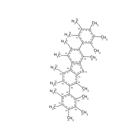 Cc1c(C)c(C)c(-c2c(C)c(C)c3c(sc4c(C)c(-c5c(C)c(C)c(C)c(C)c5C)c(C)c(C)c43)c2C)c(C)c1C